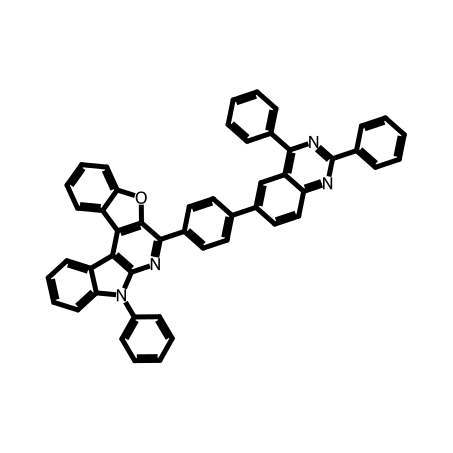 c1ccc(-c2nc(-c3ccccc3)c3cc(-c4ccc(-c5nc6c(c7ccccc7n6-c6ccccc6)c6c5oc5ccccc56)cc4)ccc3n2)cc1